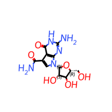 NC(=O)c1cn([C@@H]2O[C@H](CO)C(O)[C@@H]2O)c2nc(N)[nH]c(=O)c12